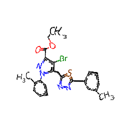 CCOC(=O)c1nn(-c2ccccc2C)c(-c2nnc(-c3cccc(C)c3)s2)c1Br